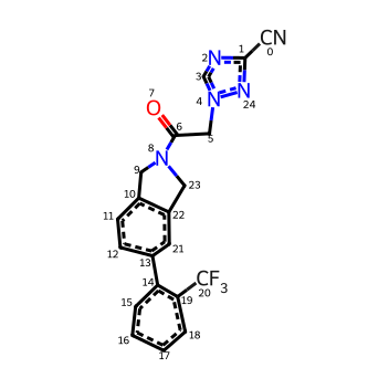 N#Cc1ncn(CC(=O)N2Cc3ccc(-c4ccccc4C(F)(F)F)cc3C2)n1